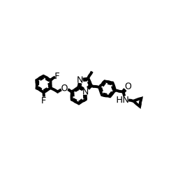 Cc1nc2c(OCc3c(F)cccc3F)cccn2c1-c1ccc(C(=O)NC2CC2)cc1